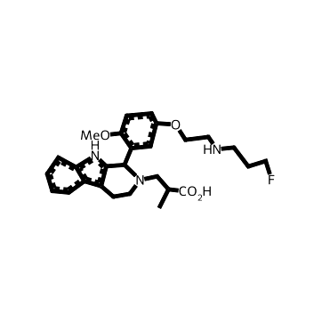 COc1ccc(OCCNCCCF)cc1C1c2[nH]c3ccccc3c2CCN1CC(C)C(=O)O